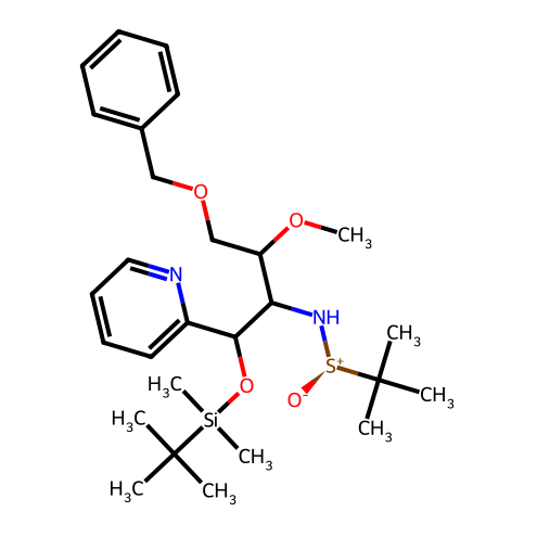 COC(COCc1ccccc1)C(N[S@+]([O-])C(C)(C)C)C(O[Si](C)(C)C(C)(C)C)c1ccccn1